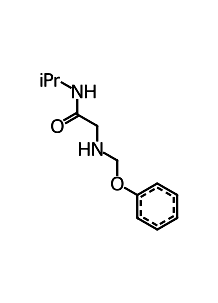 CC(C)NC(=O)CNCOc1ccccc1